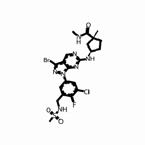 CNC(=O)[C@]1(C)CC[C@@H](Nc2ncc3c(Br)nn(-c4cc(Cl)c(F)c(CNS(C)(=O)=O)c4)c3n2)C1